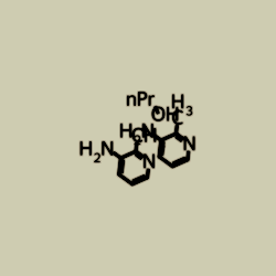 CCCO.Cc1ncccc1N.Cc1ncccc1N